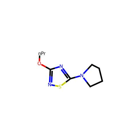 CCCOc1nsc(N2CCCC2)n1